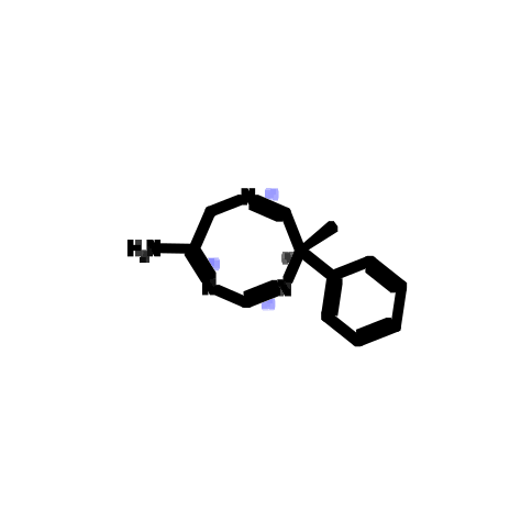 C[C@]1(c2ccccc2)/C=N\C/C(N)=N\C=N/1